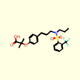 CCCN(CCCc1ccc(OC(C)(C)C(=O)O)cc1)S(=O)(=O)c1ccccc1C(F)(F)F